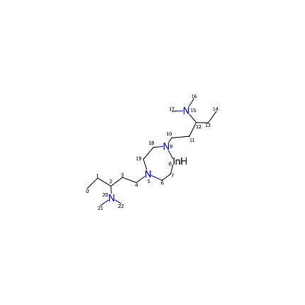 CCC(CCN1C[CH2][InH][N](CCC(CC)N(C)C)CC1)N(C)C